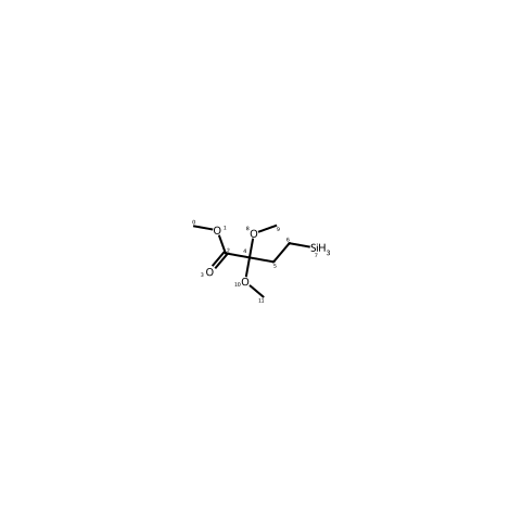 COC(=O)C(CC[SiH3])(OC)OC